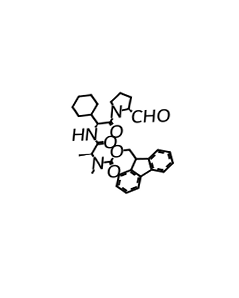 C[C@@H](C(=O)N[C@H](C(=O)N1CCC[C@H]1C=O)C1CCCCC1)N(C)C(=O)OCC1c2ccccc2-c2ccccc21